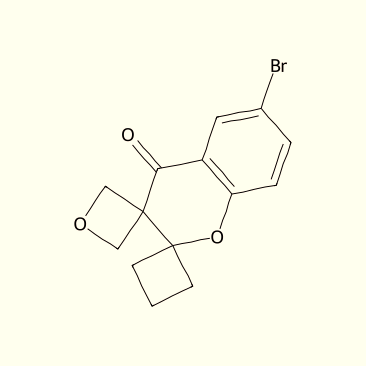 O=C1c2cc(Br)ccc2OC2(CCC2)C12COC2